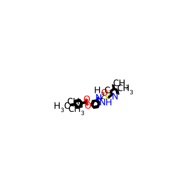 CCC1C(C)=CN=C(C[S+]([O-])c2nc3cc(OC(=O)c4ccc(C(C)(C)C)cc4)ccc3[nH]2)C1C